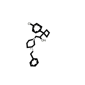 OC(CN1CCC[C@@H](CCc2ccccc2)C1)C1(c2ccc(Cl)cc2)CCC1